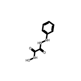 O=C(NO)C(=O)NNc1ccccc1